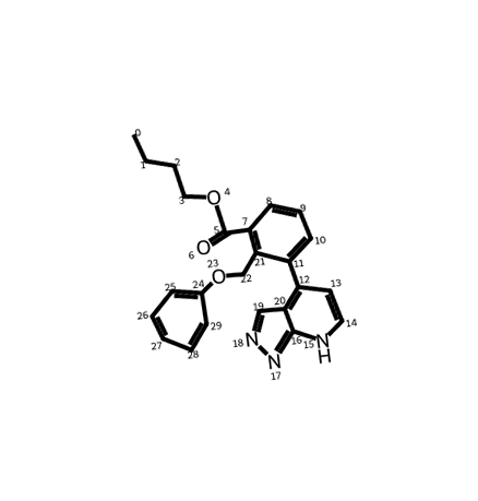 CCCCOC(=O)c1cccc(-c2cc[nH]c3nncc2-3)c1COc1ccccc1